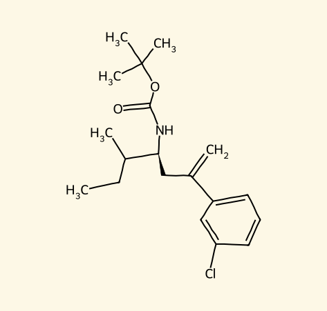 C=C(C[C@H](NC(=O)OC(C)(C)C)C(C)CC)c1cccc(Cl)c1